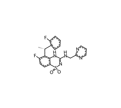 C[C@H](c1ccccc1F)c1c(F)ccc2c1NC(NCc1ncccn1)=NS2(=O)=O